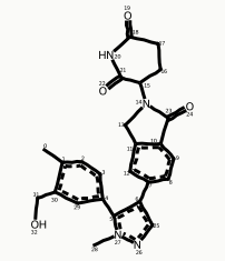 Cc1ccc(-c2c(-c3ccc4c(c3)CN(C3CCC(=O)NC3=O)C4=O)cnn2C)cc1CO